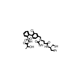 CCCC(=O)N(CCC(=O)N[C@@H](CS)CC(C)C)Cc1ccc(-c2ccccc2S(=O)(=O)NC(=O)[C@H](C)O)c(Cl)c1